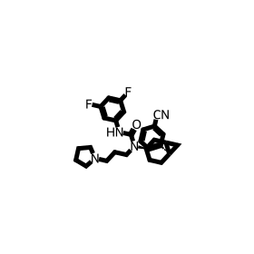 N#Cc1cccc([C@]23CC[C@@H](N(CCCN4CCCC4)C(=O)Nc4cc(F)cc(F)c4)CC2C3)c1